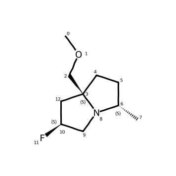 COC[C@@]12CC[C@H](C)N1C[C@@H](F)C2